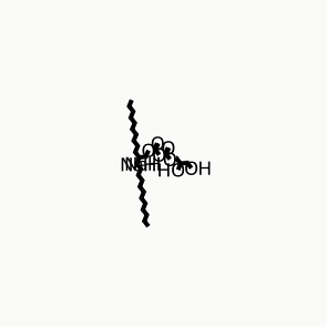 CCCCCCCCCCCCC(CCCCCCCCCC)COC(=O)OC(=O)OCC(O)CO.[NaH].[NaH]